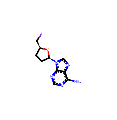 Nc1ncnc2c1ncn2[C@H]1CC[C@@H](CI)O1